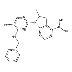 CC(C)c1cnc(N2c3cccc(B(O)O)c3CC2C)nc1NCc1ccccc1